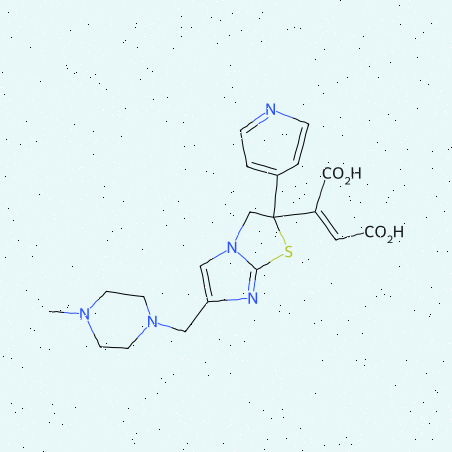 CN1CCN(Cc2cn3c(n2)SC(C(=CC(=O)O)C(=O)O)(c2ccncc2)C3)CC1